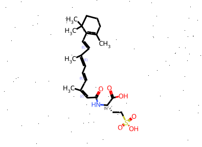 CC1=C(/C=C/C(C)=C/C=C/C(C)=C\C(=O)N[C@@H](CCS(=O)(=O)O)C(=O)O)C(C)(C)CCC1